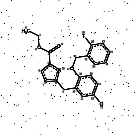 CCOC(=O)c1csc(Cc2cc(Cl)ccc2OCc2ccccc2F)n1